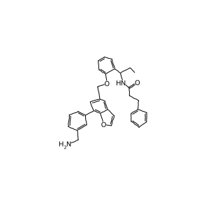 CCC(NC(=O)CCc1ccccc1)c1ccccc1OCc1cc(-c2cccc(CN)c2)c2occc2c1